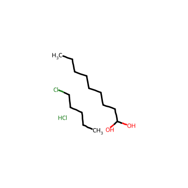 CCCCCCCCC(O)O.CCCCCCl.Cl